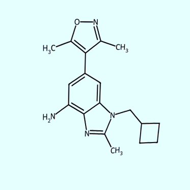 Cc1noc(C)c1-c1cc(N)c2nc(C)n(CC3CCC3)c2c1